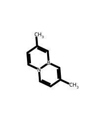 CC1=CB2C=C(C)C=CN2C=C1